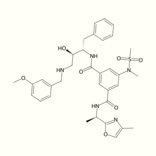 COc1cccc(CNC[C@@H](O)[C@H](Cc2ccccc2)NC(=O)c2cc(C(=O)N[C@H](C)c3nc(C)co3)cc(N(C)S(C)(=O)=O)c2)c1